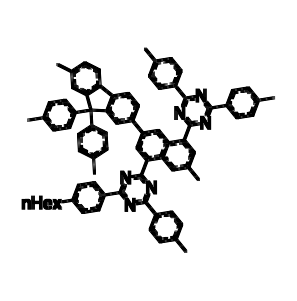 CCCCCCc1ccc(-c2nc(-c3ccc(C)cc3)nc(-c3cc(-c4ccc5c(c4)C(c4ccc(C)cc4)(c4ccc(C)cc4)c4cc(C)ccc4-5)cc4c(-c5nc(-c6ccc(C)cc6)nc(-c6ccc(C)cc6)n5)cc(C)cc34)n2)cc1